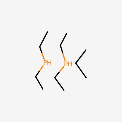 CCC.CCPCC.CCPCC